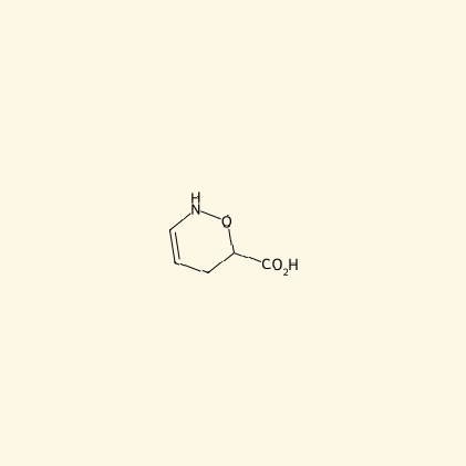 O=C(O)C1CC=CNO1